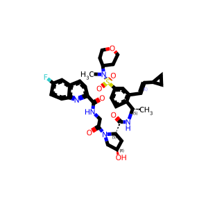 C[C@H](NC(=O)[C@@H]1C[C@@H](O)CN1C(=O)CNC(=O)c1ccc2cc(F)ccc2n1)c1ccc(S(=O)(=O)N(C)C2CCOCC2)cc1/C=C/C1CC1